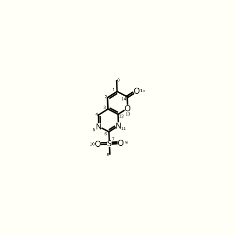 Cc1cc2cnc(S(C)(=O)=O)nc2oc1=O